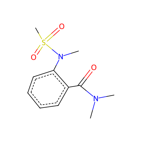 CN(C)C(=O)c1ccccc1N(C)S(C)(=O)=O